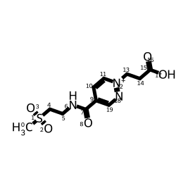 CS(=O)(=O)CCNC(=O)c1cc[n+](CCC(=O)O)nc1